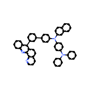 c1ccc(N(c2ccccc2)c2ccc(N(c3ccc(-c4cccc(-c5c6ccccc6nc6c5ccc5cccnc56)c4)cc3)c3ccc4ccccc4c3)cc2)cc1